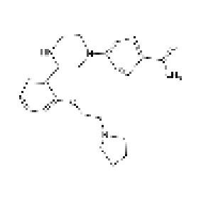 CC(=O)c1ccc(N2CCNC(c3ccccc3OCCN3CCCC3)C2)cc1